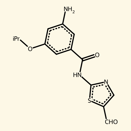 CC(C)Oc1cc(N)cc(C(=O)Nc2ncc(C=O)s2)c1